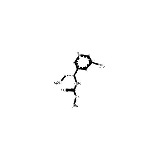 COC[C@@H](NC(=O)OC(C)(C)C)c1cncc(N)c1